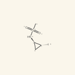 CS(=O)(=O)N[C@@H]1C[C@H]1I